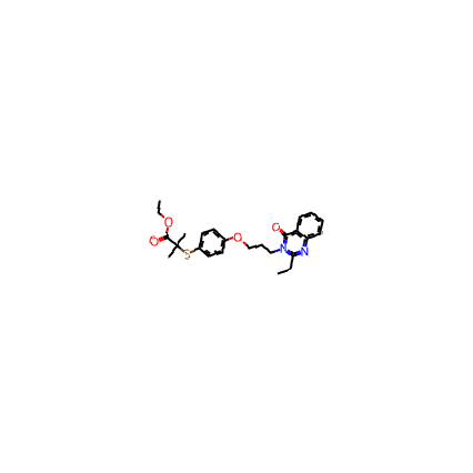 CCOC(=O)C(C)(C)Sc1ccc(OCCCn2c(CC)nc3ccccc3c2=O)cc1